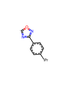 CC(C)c1ccc(-c2n[c]on2)cc1